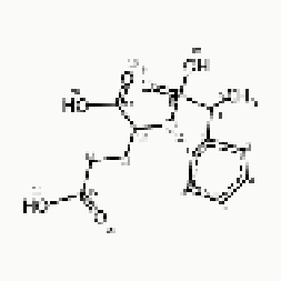 CC(c1ccccc1)P(=O)(O)OC(CCC(=O)O)C(=O)O